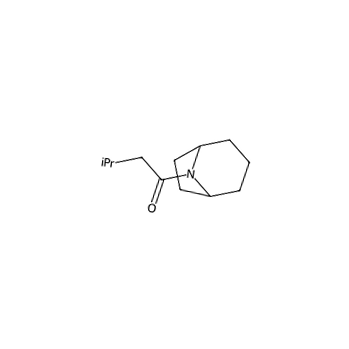 CC(C)CC(=O)N1C2CCCC1CC2